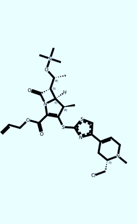 C=CCOC(=O)C1=C(Sc2nc(C3=CCN(C)[C@H](CCl)C3)cs2)[C@H](C)[C@@H]2[C@@H]([C@@H](C)O[Si](C)(C)C)C(=O)N12